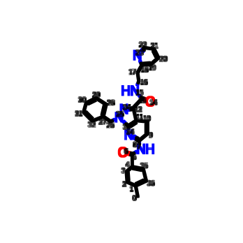 Cc1ccc(C(=O)Nc2ccc3c(C(=O)NCCc4ccccn4)nn(Cc4ccccc4)c3n2)cc1